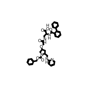 O=C(COC1CC(CNc2ccccn2)N(C(=O)OCc2ccccc2)C1)NCC(NC(=O)c1ccccc1-c1ccccc1)C(=O)O